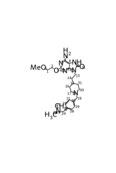 COCCOc1nc(N)c2[nH]c(=O)n(CCC3CCN(Cc4ccc(CN(C)C)cc4)CC3)c2n1